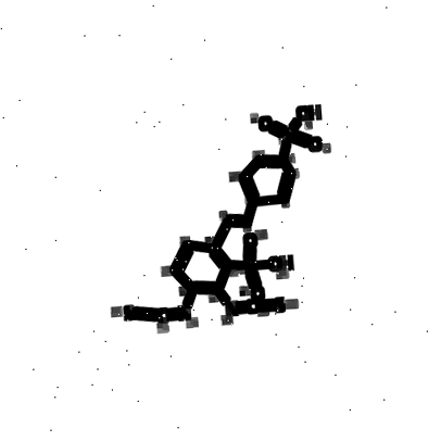 O=S(=O)(O)c1ccc(C=Cc2ccc(N=C=S)c(N=C=S)c2S(=O)(=O)O)cc1